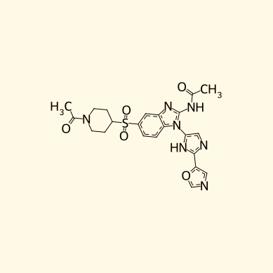 CC(=O)Nc1nc2cc(S(=O)(=O)C3CCN(C(C)=O)CC3)ccc2n1-c1cnc(-c2cnco2)[nH]1